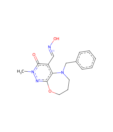 Cn1nc2c(c(/C=N/O)c1=O)N(Cc1ccccc1)CCCO2